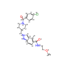 Cc1c(C(=O)NCCOC(C)C)ccc2nn(CC3CCN(C(=O)c4ccc(Cl)cc4)CC3)cc12